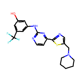 Oc1cc(Nc2nccc(-c3ncc(CN4CCCCC4)s3)n2)cc(C(F)(F)F)c1